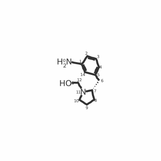 Nc1cccc(C[C@@H]2CCCN2CO)c1